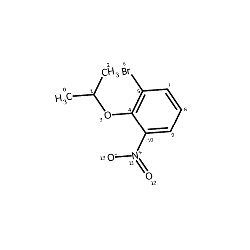 CC(C)Oc1c(Br)cccc1[N+](=O)[O-]